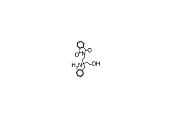 NC(CCO)(CCN1C(=O)c2ccccc2C1=O)Cc1ccccc1